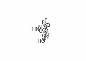 CC(C)(O)c1nnc(C(=O)N2CCc3[nH]cnc3C2c2cc3cccc(C(F)F)n3n2)o1